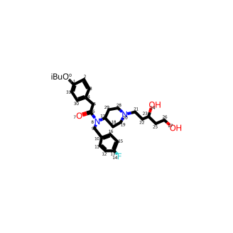 CC(C)COc1ccc(CC(=O)N(Cc2ccc(F)cc2)C2CCN(CCC(O)CCO)CC2)cc1